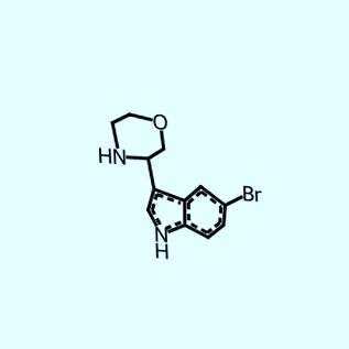 Brc1ccc2[nH]cc(C3COCCN3)c2c1